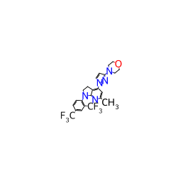 Cc1cc(-n2ccc(N3CCOCC3)n2)c2c(n1)N(c1ccc(C(F)(F)F)cc1C(F)(F)F)CC2